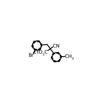 CCOC(=O)C(C#N)(Cc1cccc(Br)c1)c1cccc(C)c1